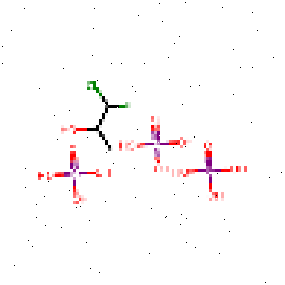 CC(O)C(Cl)Cl.O=P(O)(O)O.O=P(O)(O)O.O=P(O)(O)O